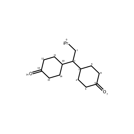 CC(C)CC(C1CCC(=O)CC1)C1CCC(=O)CC1